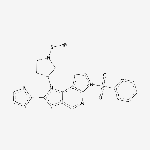 CCCSN1CCC(n2c(-c3ncc[nH]3)nc3cnc4c(ccn4S(=O)(=O)c4ccccc4)c32)C1